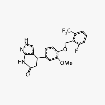 COc1cc(C2CC(=O)Nc3n[nH]cc32)ccc1OCc1c(F)cccc1C(F)(F)F